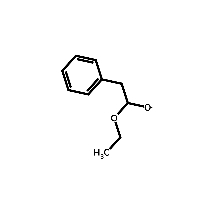 CCOC([O])Cc1ccccc1